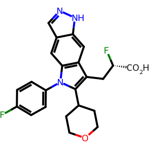 O=C(O)[C@@H](F)Cc1c(C2CCOCC2)n(-c2ccc(F)cc2)c2cc3cn[nH]c3cc12